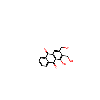 O=C1c2ccccc2C(=O)c2c1cc(CO)c(CO)c2O